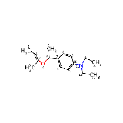 CC=C(C)OC(C)c1ccc(N(CC)CC)cc1